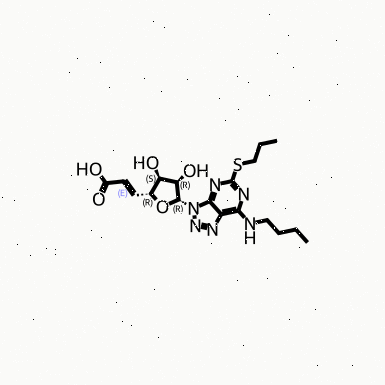 CCCCNc1nc(SCCC)nc2c1nnn2[C@@H]1O[C@H](/C=C/C(=O)O)[C@@H](O)[C@H]1O